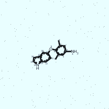 Cc1cc(N)cc(C)c1Oc1ccc2[nH]ccc2c1